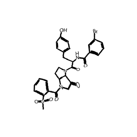 CS(=O)(=O)c1ccccc1C(=O)N1CC(=O)C2C1CCN2C(=O)C(Cc1ccc(O)cc1)NC(=O)c1cccc(Br)c1